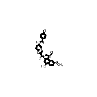 COc1ccc2c(O)cc3c(c2c1)[C@H](CCl)CN3C(=O)c1cn2cc(NC(=O)c3ccc(Cl)cc3)ccc2n1